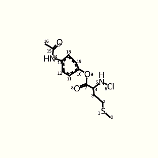 CSCCC(NCl)C(=O)Oc1ccc(NC(C)=O)cc1